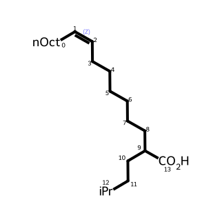 CCCCCCCC/C=C\CCCCCCC(CCC(C)C)C(=O)O